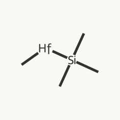 [CH3][Hf][Si](C)(C)C